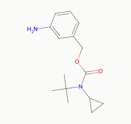 CC(C)(C)N(C(=O)OCc1cccc(N)c1)C1CC1